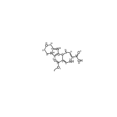 COC(=O)C1=CNC(C(=O)O)=CSC1c1cn2c(n1)COCC2